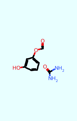 NC(N)=O.O=COc1cccc(O)c1